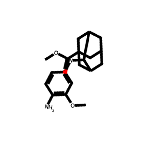 COC(=O)C12CC3CC(C1)C(Nc1ccc(N)c(OC)c1)C(C3)C2